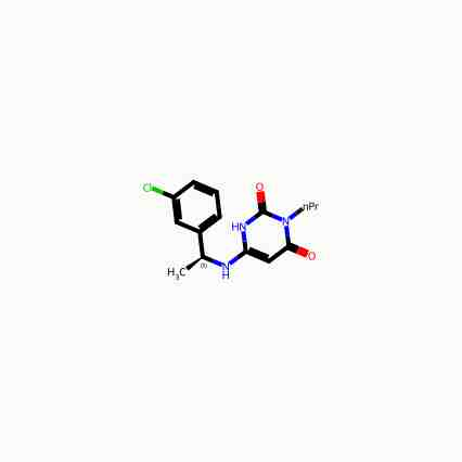 CCCn1c(=O)cc(N[C@@H](C)c2cccc(Cl)c2)[nH]c1=O